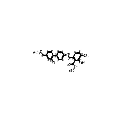 CC(C)(C)OC(=O)c1c(COc2ccc(-c3ccc(CC(=O)O)cc3Cl)cc2)ccc(C(F)(F)F)c1O